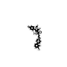 CCn1c(-c2ccc(I)cc2)cc(C(=O)NCCCN2CCN(c3cccc(C)c3C)CC2)c1C